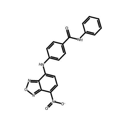 O=C(Nc1ccccc1)c1ccc(Nc2ccc([N+](=O)[O-])c3nonc23)cc1